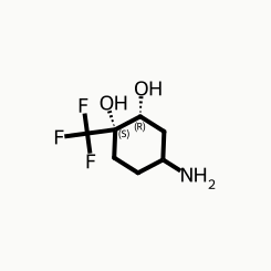 NC1CC[C@@](O)(C(F)(F)F)[C@H](O)C1